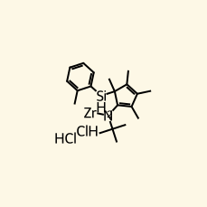 CC1=C(C)C(C)([SiH2]c2ccccc2C)C([N]([Zr])C(C)(C)C)=C1C.Cl.Cl